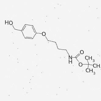 CC(C)(C)OC(=O)NCCCCOc1ccc(CO)cc1